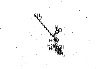 C#C[C@@]1(c2ccc3c(N)ncnn23)O[C@H](COP(=O)(O)OC[C@@H](COCCCCCCCCCCCCCCCCCC)OCc2ccc(Cl)c(C#N)c2)[C@@H](O)[C@H]1O